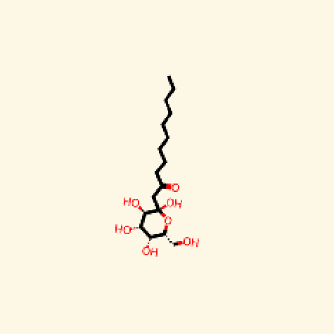 CCCCCCCCCC(=O)C[C@]1(O)O[C@H](CO)[C@H](O)[C@H](O)[C@H]1O